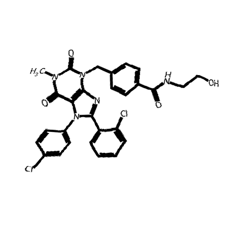 Cn1c(=O)c2c(nc(-c3ccccc3Cl)n2-c2ccc(Cl)cc2)n(Cc2ccc(C(=O)NCCO)cc2)c1=O